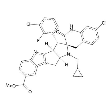 COC(=O)c1ccc2nc3n(c2c1)C[C@H]1[C@@H]3[C@H](c2cccc(Cl)c2F)[C@@]2(Cc3ccc(Cl)cc3NC2=O)N1CC1CC1